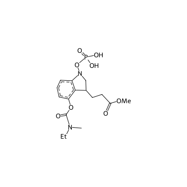 CCN(C)C(=O)Oc1cccc2c1C(CCC(=O)OC)CN2OP(=O)(O)O